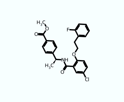 COC(=O)c1ccc([C@H](C)NC(=O)c2cc(Cl)ccc2OCCc2ccccc2F)cc1